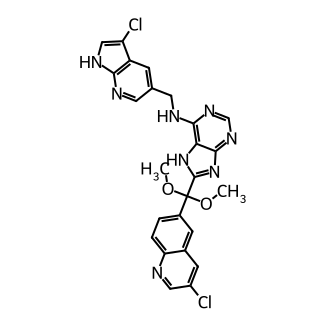 COC(OC)(c1ccc2ncc(Cl)cc2c1)c1nc2ncnc(NCc3cnc4[nH]cc(Cl)c4c3)c2[nH]1